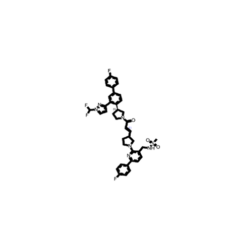 CS(=O)(=O)NCc1ccc(-c2ccc(F)cc2)nc1N1CCC(/C=C/C(=O)N2CC[C@@H](c3ccc(-c4ccc(F)cc4)cc3-c3ccn(C(F)F)n3)C2)C1